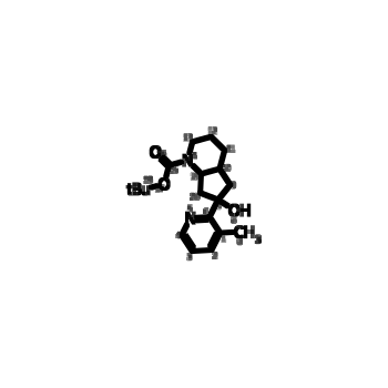 Cc1cccnc1C1(O)CC2CCCN(C(=O)OC(C)(C)C)C2C1